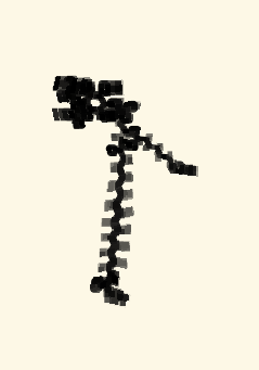 CCCCCCCCCCCCCCCC(=O)O[C@H](COC(=O)CCCCCCCCCCCCCCSC(=O)CCC)COP(=O)(O)OC1C(O)[C@@H](OP(=O)(O)O)C(OP(=O)(O)O)[C@@H](O)[C@H]1O